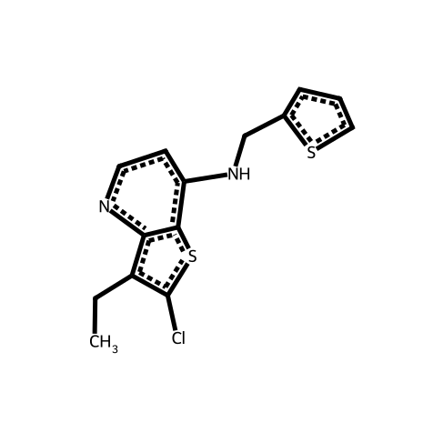 CCc1c(Cl)sc2c(NCc3cccs3)ccnc12